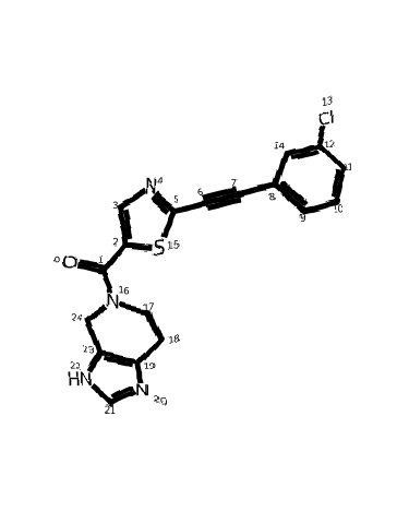 O=C(c1cnc(C#Cc2cccc(Cl)c2)s1)N1CCc2nc[nH]c2C1